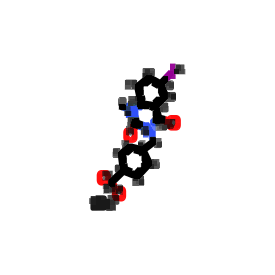 Cn1c(=O)n(Cc2ccc(C(=O)OC(C)(C)C)cc2)c(=O)c2cc(I)ccc21